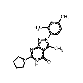 Cc1ccc(-n2nc3nc(N4CCCC4)[nH]c(=O)c3c2C)c(C)c1